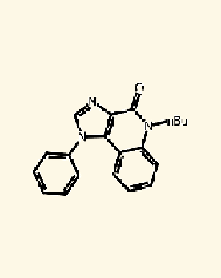 CCCCn1c(=O)c2ncn(-c3ccccc3)c2c2ccccc21